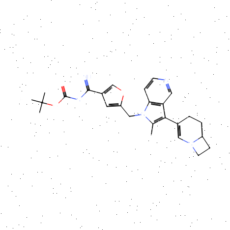 Cc1c(C2=CN3CCC3CC2)c2cnccc2n1Cc1cc(C(=N)NC(=O)OC(C)(C)C)co1